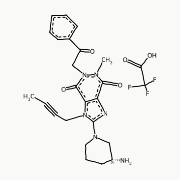 CC#CCn1c(N2CCC[C@@H](N)C2)nc2c(=O)n(C)n(CC(=O)c3ccccc3)c(=O)c21.O=C(O)C(F)(F)F